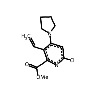 C=Cc1c(N2CCCC2)cc(Cl)nc1C(=O)OC